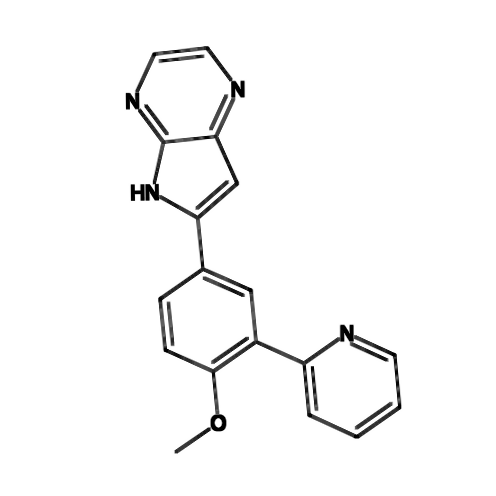 COc1ccc(-c2cc3nccnc3[nH]2)cc1-c1ccccn1